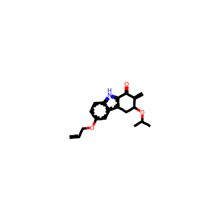 C=CCOc1ccc2[nH]c3c(c2c1)CC(OC(C)C)C(=C)C3=O